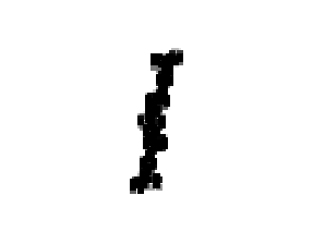 CCC1(COc2ccc(CCC(=O)Oc3ccc(S(=O)(=O)c4ccc(OC(=O)CCc5ccc(OCC6(CC)COC6)cc5)cc4)cc3)cc2)COC1